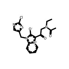 CCN(CC(=O)c1c([O-])n(Cc2cnc(Cl)s2)c2cccc[n+]12)C(C)=O